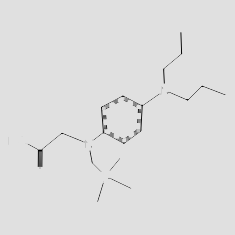 CCCN(CCC)c1ccc(N(CC(=O)O)CS(C)(C)C)cc1